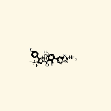 Cc1ccc(-c2ccn3nc(N)nc3c2)c(F)c1C(=O)NCC(C)(F)[C@H](O)c1ccc(F)cc1